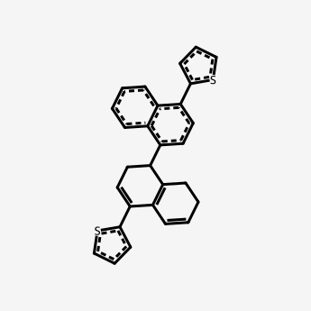 C1=CC2=C(CC1)C(c1ccc(-c3cccs3)c3ccccc13)CC=C2c1cccs1